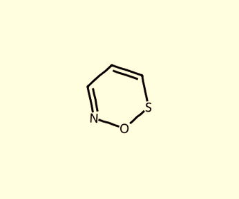 C1=CSON=C1